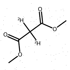 [2H]C([2H])(C(=O)OC)C(=O)OC